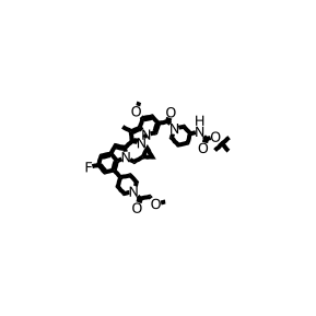 COCC(=O)N1CCC(c2cc(F)cc3cc(-c4nn5cc(C(=O)N6CCCC(NC(=O)OC(C)(C)C)C6)cc(OC)c5c4C)n(CC4CC4)c23)CC1